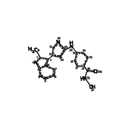 Cc1nc2ccccn2c1-c1cnc(Nc2ccc(C(=O)NO)cc2)s1